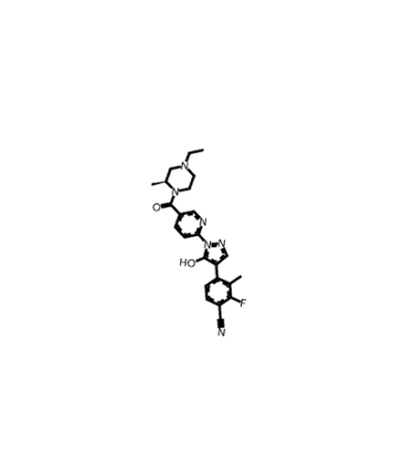 CCN1CCN(C(=O)c2ccc(-n3ncc(-c4ccc(C#N)c(F)c4C)c3O)nc2)[C@@H](C)C1